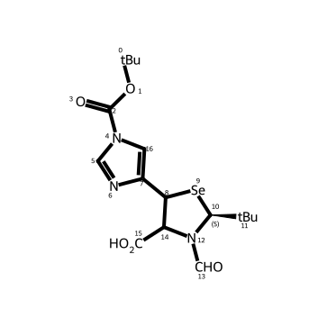 CC(C)(C)OC(=O)n1cnc(C2[Se][C@@H](C(C)(C)C)N(C=O)C2C(=O)O)c1